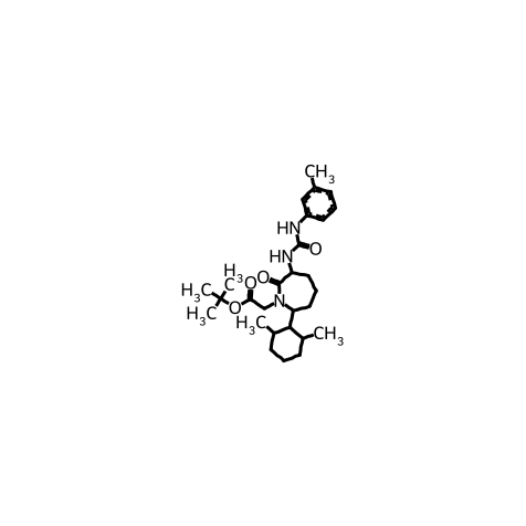 Cc1cccc(NC(=O)NC2CCCC(C3C(C)CCCC3C)N(CC(=O)OC(C)(C)C)C2=O)c1